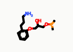 CP(C)OCC(O)COc1ccccc1CCCN